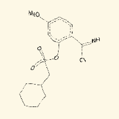 COc1ccc(C(=N)C#N)c(OS(=O)(=O)CC2CCCCC2)c1